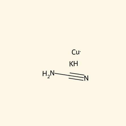 N#CN.[Cu].[KH]